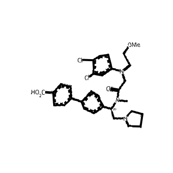 COCCN(CC(=O)N(C)[C@@H](CN1CCCC1)c1ccc(-c2ccc(C(=O)O)cc2)cc1)c1ccc(Cl)c(Cl)c1